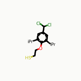 CC(C)c1cc(C(Cl)Cl)cc(C(C)C)c1OCCS